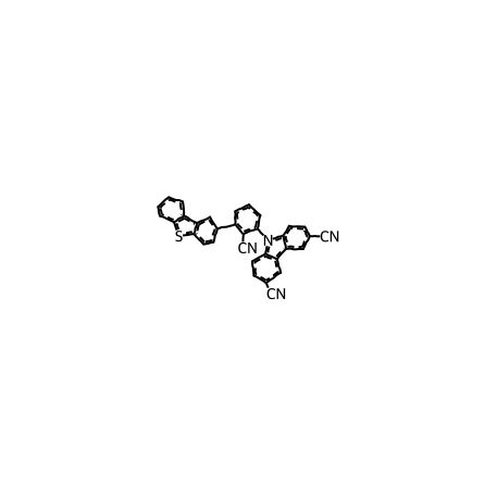 N#Cc1ccc2c(c1)c1cc(C#N)ccc1n2-c1cccc(-c2ccc3sc4ccccc4c3c2)c1C#N